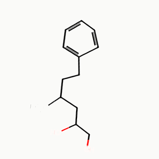 O=C(O)C(CCc1ccccc1)CC(O)CO